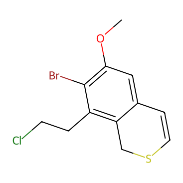 COc1cc2c(c(CCCl)c1Br)CSC=C2